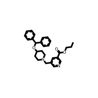 CCCOC(=O)c1cncc(CN2CCC(OC(c3ccccc3)c3ccccc3)CC2)c1